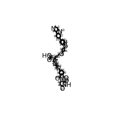 Cn1c2ccncc2c2ccc(-c3ccc(OC4CC(OCCCC(F)(F)CN5CC6(C5)CN(c5ccc7c(c5)C(=O)N(C5CCC(=O)NC5=O)C7=O)C6)C4)nc3)cc21.O=CO